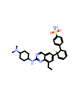 CCc1cc(C2(F)C=CC=CC2c2ccc(S(N)(=O)=O)cc2)cc2cnc(NC3CCC(N(C)C)CC3)nc12